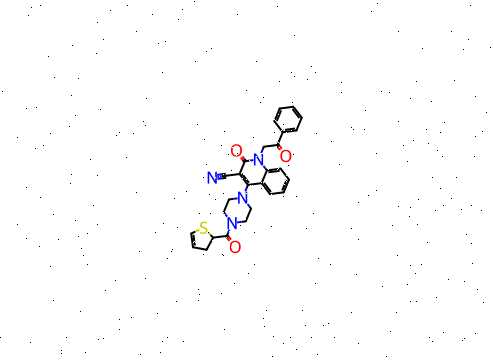 N#Cc1c(N2CCN(C(=O)C3CC=CS3)CC2)c2ccccc2n(CC(=O)c2ccccc2)c1=O